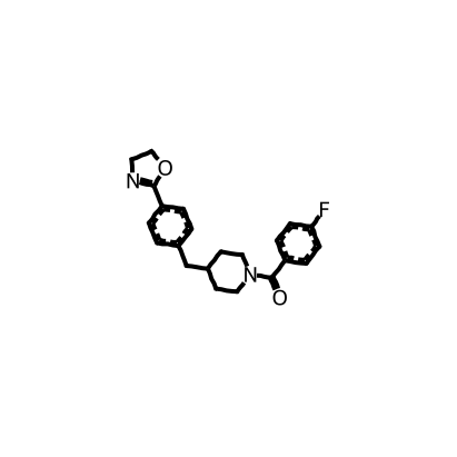 O=C(c1ccc(F)cc1)N1CCC(Cc2ccc(C3=NCCO3)cc2)CC1